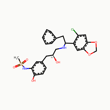 CS(=O)(=O)Nc1cc(C[C@H](O)CNC(Cc2ccccc2)c2cc3c(cc2Cl)OCO3)ccc1O